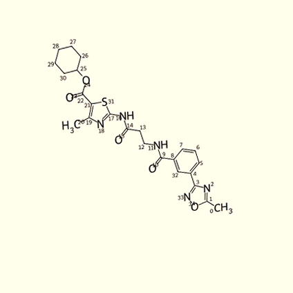 Cc1nc(-c2cccc(C(=O)NCCC(=O)Nc3nc(C)c(C(=O)OC4CCCCC4)s3)c2)no1